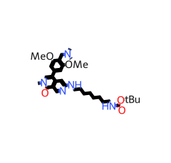 COc1cc(-c2cn(C)c(=O)c3cnc(NCCCCCCCCNC(=O)OC(C)(C)C)cc23)cc(OC)c1CN(C)C